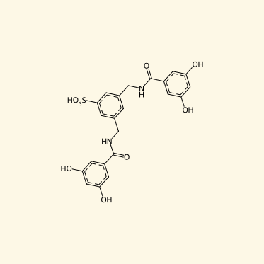 O=C(NCc1cc(CNC(=O)c2cc(O)cc(O)c2)cc(S(=O)(=O)O)c1)c1cc(O)cc(O)c1